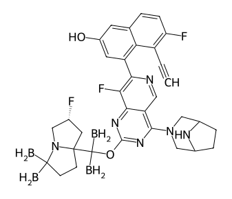 BC1(B)CCC2(C(B)(B)Oc3nc(N4CC5CCC(C4)N5)c4cnc(-c5cc(O)cc6ccc(F)c(C#C)c56)c(F)c4n3)C[C@@H](F)CN12